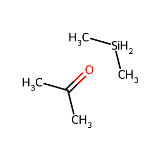 CC(C)=O.C[SiH2]C